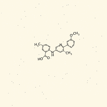 COc1cccc(-c2ncc(Nc3ccc(C)cc3C(=O)O)cc2C)c1